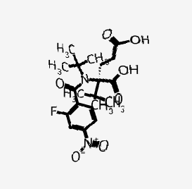 CC(C)(C)N(C(=O)c1ccc([N+](=O)[O-])cc1F)[C@@](CCC(=O)O)(C(=O)O)C(C)(C)C